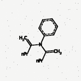 C=C(CCC)N(C(=C)CCC)c1ccccc1